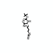 CC(C)(C)OC(=O)N[C@H](CCCCN=[N+]=[N-])C(N)=O